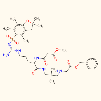 Cc1c(C)c(S(=O)(=O)/N=C(/N)NCCC[C@H](NC(=O)CC(=O)OC(C)(C)C)C(=O)NCC(C)(C)CNCC(=O)OCc2ccccc2)c(C)c2c1OC(C)(C)C2